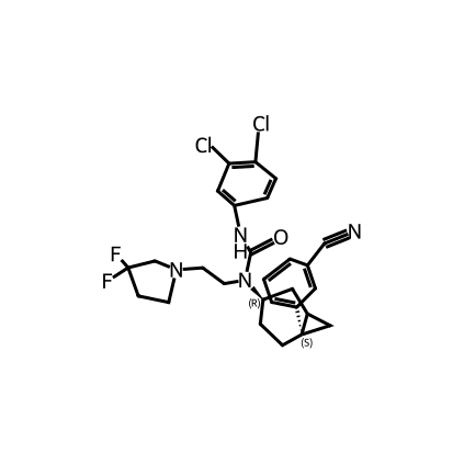 N#Cc1cccc([C@]23CC[C@@H](N(CCN4CCC(F)(F)C4)C(=O)Nc4ccc(Cl)c(Cl)c4)CC2C3)c1